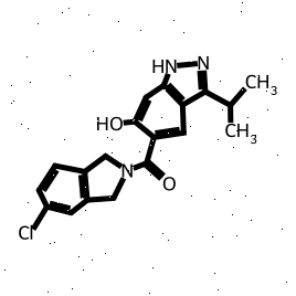 CC(C)c1n[nH]c2cc(O)c(C(=O)N3Cc4ccc(Cl)cc4C3)cc12